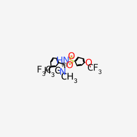 CN(C)C[C@H](NS(=O)(=O)c1ccc(OC(F)(F)F)cc1)c1cccc(C(F)(F)F)c1